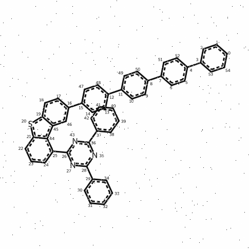 c1ccc(-c2ccc(-c3ccc(-c4ccc(-c5ccc6sc7cccc(-c8nc(-c9ccccc9)nc(-c9ccccc9)n8)c7c6c5)cc4)cc3)cc2)cc1